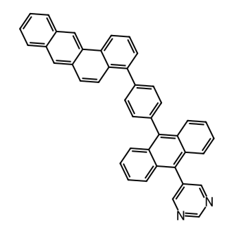 c1ccc2cc3c(ccc4c(-c5ccc(-c6c7ccccc7c(-c7cncnc7)c7ccccc67)cc5)cccc43)cc2c1